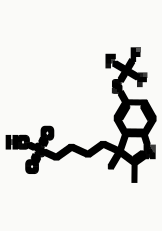 CC1=Nc2ccc(SC(F)(F)F)cc2C1(C)CCCCS(=O)(=O)O